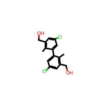 Cc1c(CO)cc(Cl)cc1-c1cc(Cl)cc(CO)c1C